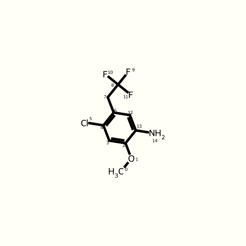 COc1cc(Cl)c(CC(F)(F)F)cc1N